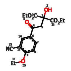 CCOC(=O)C(O)(CC(=O)c1ccc(OCC)c(C#N)c1)C(=O)OCC